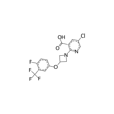 O=C(O)c1cc(Cl)cnc1N1CC(Oc2ccc(F)c(C(F)(F)F)c2)C1